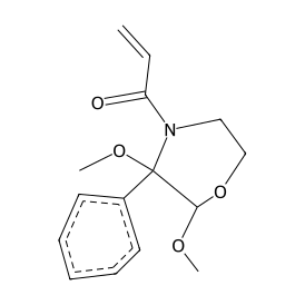 C=CC(=O)N1CCOC(OC)C1(OC)c1ccccc1